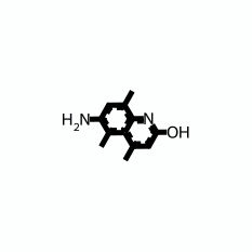 Cc1cc(N)c(C)c2c(C)cc(O)nc12